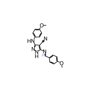 COc1ccc(/C=N/c2[nH]nc(Nc3ccc(OC)cc3)c2C#N)cc1